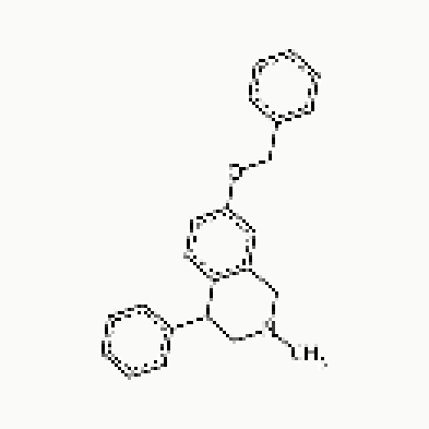 CN1Cc2cc(OCc3ccccc3)ccc2C(c2ccccc2)C1